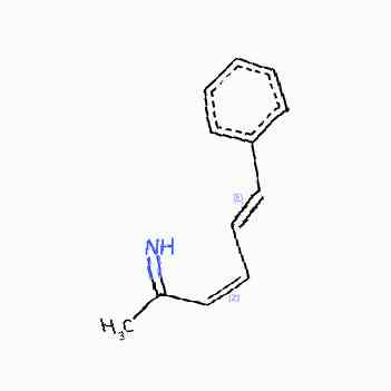 CC(=N)/C=C\C=C\c1ccccc1